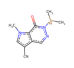 Cn1cc(C#N)c2cnn([SH](C)C)c(=O)c21